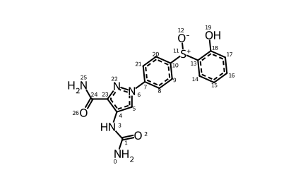 NC(=O)Nc1cn(-c2ccc([S+]([O-])c3ccccc3O)cc2)nc1C(N)=O